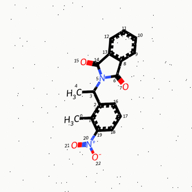 Cc1c(C(C)N2C(=O)c3ccccc3C2=O)cccc1[N+](=O)[O-]